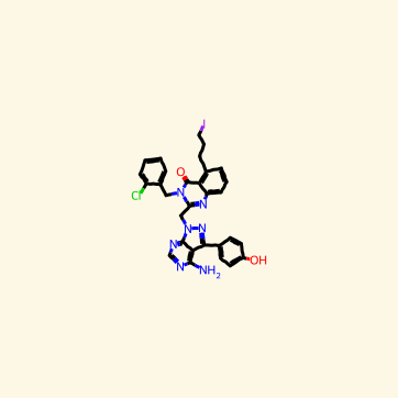 Nc1ncnc2c1c(-c1ccc(O)cc1)nn2Cc1nc2cccc(CCCI)c2c(=O)n1Cc1ccccc1Cl